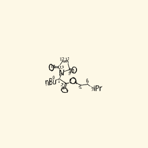 CCCCC(C(=O)OCCC(C)C)N1C(=O)C=CC1=O